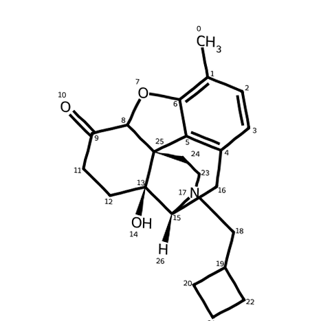 Cc1ccc2c3c1OC1C(=O)CC[C@@]4(O)[C@@H](C2)N(CC2CCC2)CC[C@]314